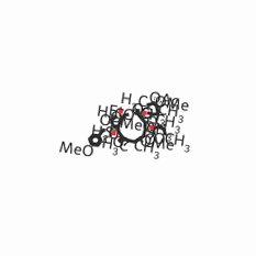 CC[C@H]1OC(=O)[C@H](C)[C@@H](O[C@H]2C[C@@](C)(OC)[C@@H](OC(C)=O)[C@H](C)O2)[C@H](C)[C@@H](O[C@@H]2O[C@H](C)C[C@H](C)[C@H]2OC)[C@](C)(OC)C[C@@H](C)C(=O)[C@H](C)[C@H]2C(SCc3ccc(OC)cc3)C(=O)O[C@@]21C